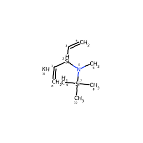 C=C[SiH](C=C)N(C)[Si](C)(C)C.[KH]